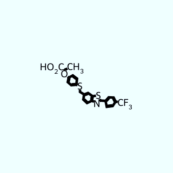 CC(Oc1ccc(SCc2ccc3nc(-c4ccc(C(F)(F)F)cc4)sc3c2)cc1)C(=O)O